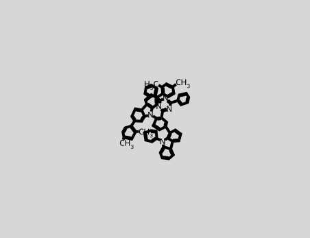 Cc1ccc(-c2ccc3c4ccc(-c5ccc(C)cc5C)cc4n(-c4ccc(-c5cccc6c7ccccc7n(-c7ccccc7)c56)cc4-c4nc(-c5ccccc5)nc(-c5ccccc5)n4)c3c2)c(C)c1